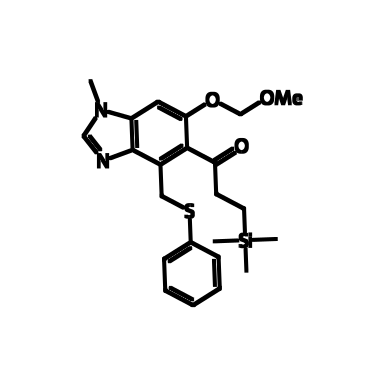 COCOc1cc2c(ncn2C)c(CSc2ccccc2)c1C(=O)CC[Si](C)(C)C